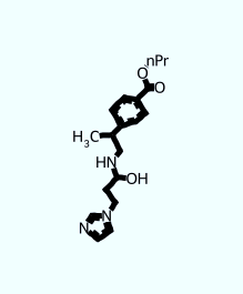 CCCOC(=O)c1ccc(C(C)CNC(O)CCn2ccnc2)cc1